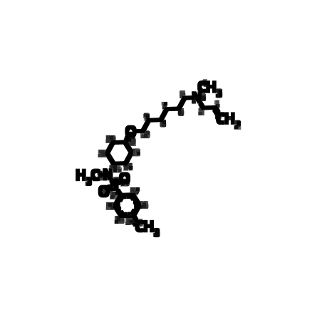 C=CCN(C)CCCCCCO[C@H]1CC[C@H](N(C)S(=O)(=O)c2ccc(C)cc2)CC1